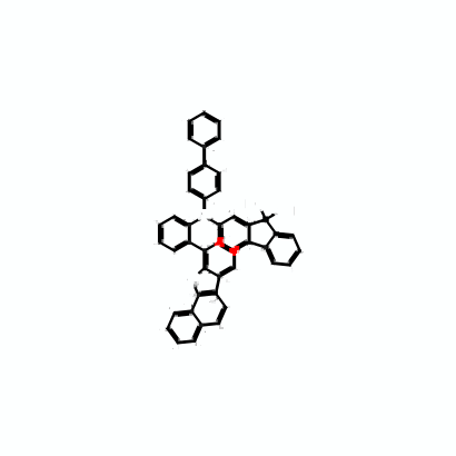 CC1(C)c2ccccc2-c2ccc(N(c3ccc(-c4ccccc4)cc3)c3ccccc3-c3cccc4c3oc3c5ccccc5ccc43)cc21